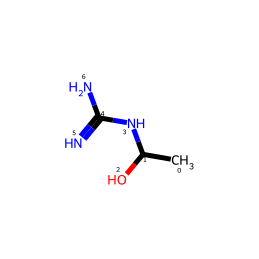 CC(O)NC(=N)N